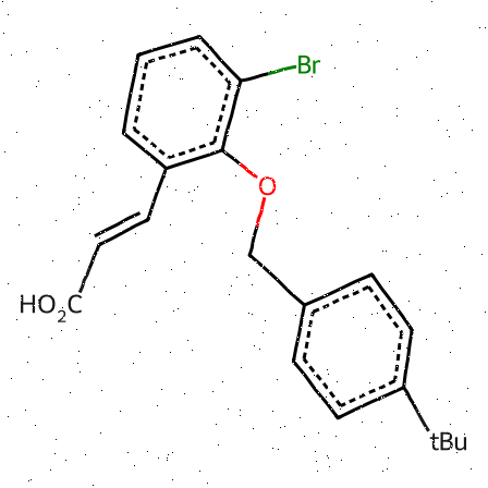 CC(C)(C)c1ccc(COc2c(Br)cccc2/C=C/C(=O)O)cc1